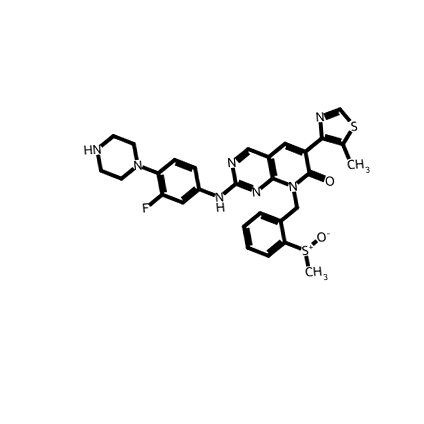 Cc1scnc1-c1cc2cnc(Nc3ccc(N4CCNCC4)c(F)c3)nc2n(Cc2ccccc2[S+](C)[O-])c1=O